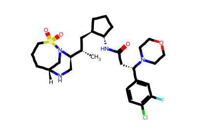 C[C@@H](C[C@H]1CCC[C@@H]1NC(=O)C[C@@H](c1ccc(Cl)c(F)c1)N1CCOCC1)[C@H]1CN[C@@H]2CCCS(=O)(=O)N1C2